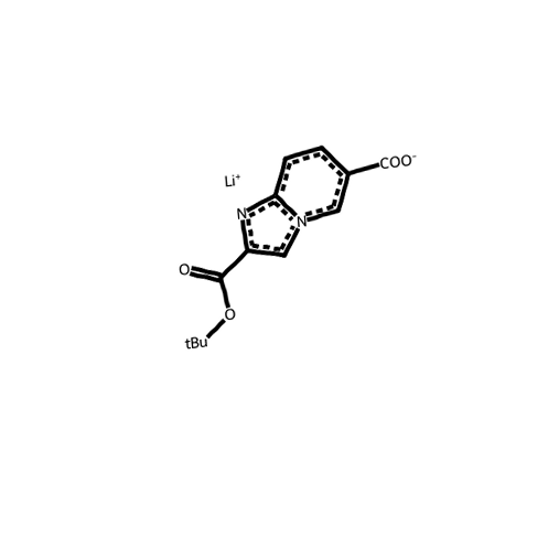 CC(C)(C)OC(=O)c1cn2cc(C(=O)[O-])ccc2n1.[Li+]